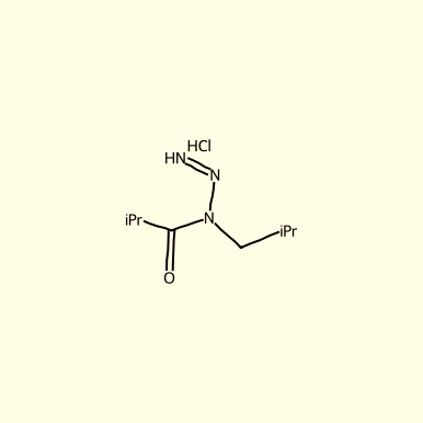 CC(C)CN(N=N)C(=O)C(C)C.Cl